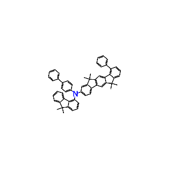 CC1(C)c2cc(N(c3ccc(-c4ccccc4)cc3)c3cccc4c3-c3ccccc3C4(C)C)ccc2-c2cc3c(cc21)-c1c(-c2ccccc2)cccc1C3(C)C